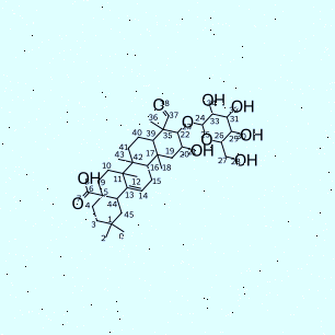 CC1(C)CCC2(C(=O)O)CCC3(C)C(=CCC4C5(C)CC(O)C(OC6OC(CO)C(O)C(O)C6O)C(C)(C=O)C5CCC43C)C2C1